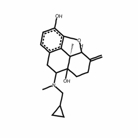 C=C1CCC2(O)C(N(C)CC3CC3)Cc3ccc(O)c4c3[C@@]2(C)[C@H]1O4